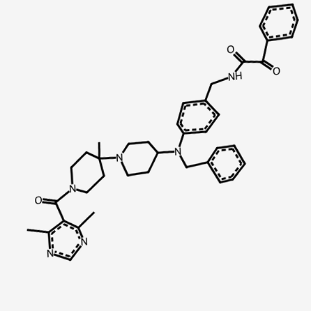 Cc1ncnc(C)c1C(=O)N1CCC(C)(N2CCC(N(Cc3ccccc3)c3ccc(CNC(=O)C(=O)c4ccccc4)cc3)CC2)CC1